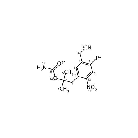 CC(C)(Cc1cc(CC#N)c(I)cc1[N+](=O)[O-])OC(N)=O